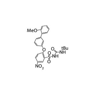 COc1ccccc1-c1cccc(Oc2ccc([N+](=O)[O-])cc2S(=O)(=O)NC(=O)NC(C)(C)C)c1